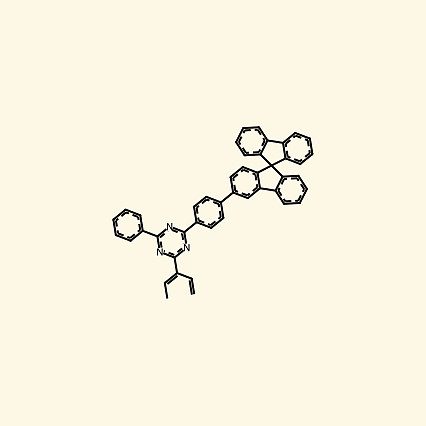 C=C/C(=C\C)c1nc(-c2ccccc2)nc(-c2ccc(-c3ccc4c(c3)-c3ccccc3C43c4ccccc4-c4ccccc43)cc2)n1